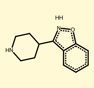 [HH].c1ccc2c(C3CCNCC3)noc2c1